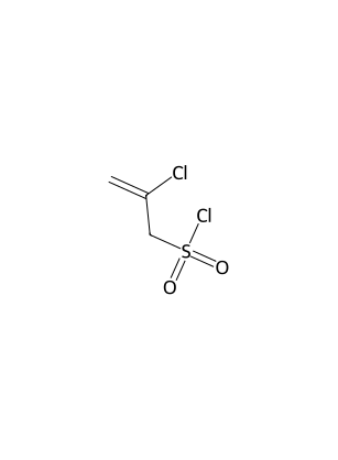 C=C(Cl)CS(=O)(=O)Cl